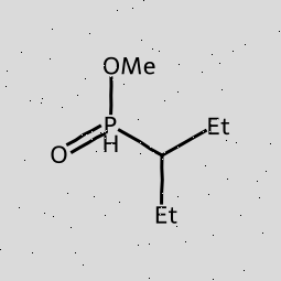 CCC(CC)[PH](=O)OC